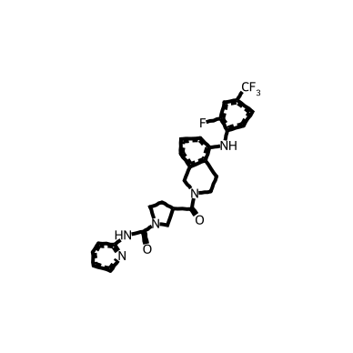 O=C(Nc1ccccn1)N1CCC(C(=O)N2CCc3c(cccc3Nc3ccc(C(F)(F)F)cc3F)C2)C1